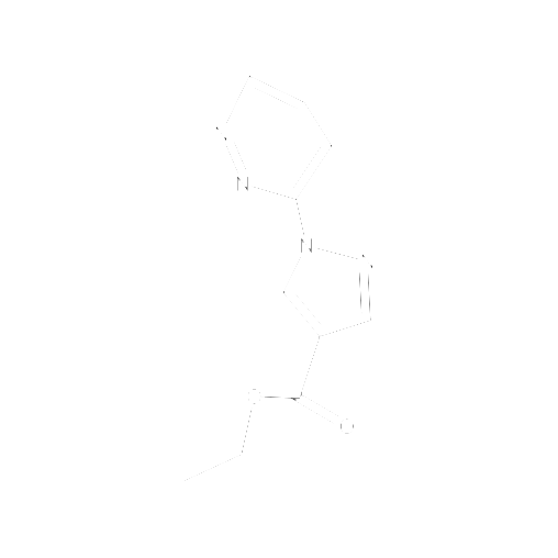 CCOC(=O)c1cnn(-c2cccnn2)c1